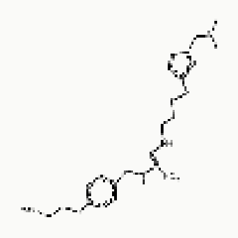 COCCOc1ccc(CNC(=CNCCSCc2ccc(CN(C)C)o2)[N+](=O)[O-])cc1